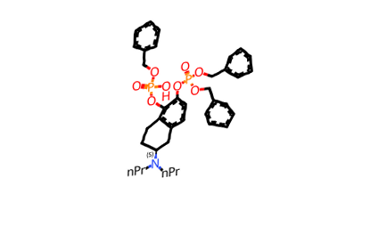 CCCN(CCC)[C@H]1CCc2c(ccc(OP(=O)(OCc3ccccc3)OCc3ccccc3)c2OP(=O)(O)OCc2ccccc2)C1